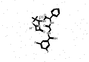 CC1(C)S[C@@H]2CC(=O)N2[C@@]1(NC(=O)C(NC(=O)CNC(=N)c1cc(F)cc(F)c1)c1ccccc1)C(=O)O